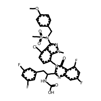 COc1ccc(CN(c2nn(C)c3c(-n4c(C(Cc5cc(F)cc(F)c5)NC(=O)O)nc5cc(F)cc(F)c5c4=O)ccc(Cl)c23)S(C)(=O)=O)cc1